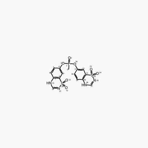 CP(=O)(Oc1ccc2c(c1)S(=O)(=O)N=CN2)Oc1ccc2c(c1)S(=O)(=O)N=CN2